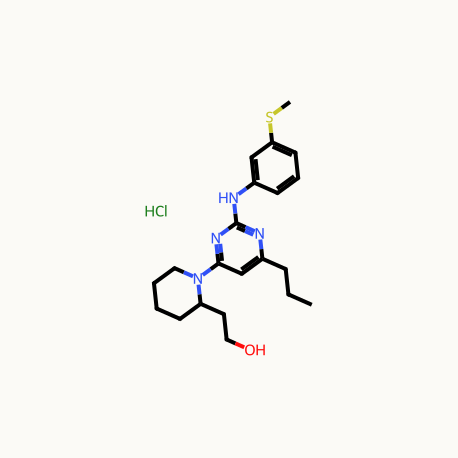 CCCc1cc(N2CCCCC2CCO)nc(Nc2cccc(SC)c2)n1.Cl